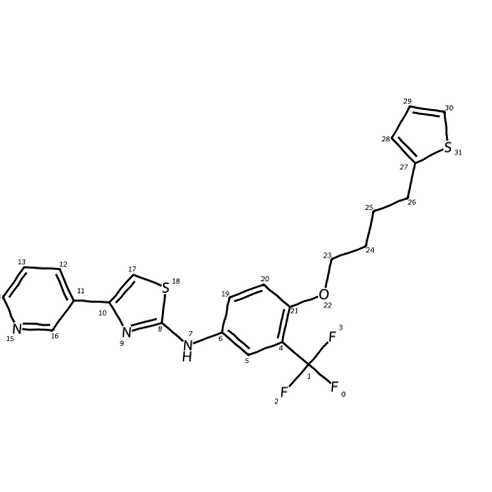 FC(F)(F)c1cc(Nc2nc(-c3cccnc3)cs2)ccc1OCCCCc1cccs1